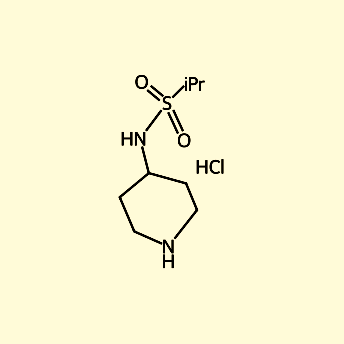 CC(C)S(=O)(=O)NC1CCNCC1.Cl